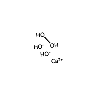 OO.[Ca+2].[OH-].[OH-]